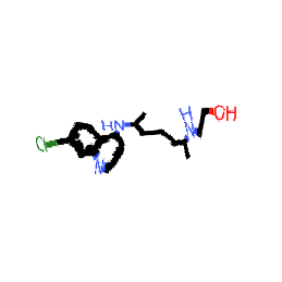 CC(CCCC(C)Nc1ccnc2cc(Cl)ccc12)NCCO